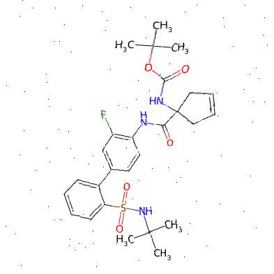 CC(C)(C)NS(=O)(=O)c1ccccc1-c1ccc(NC(=O)C2(NC(=O)OC(C)(C)C)CC=CC2)c(F)c1